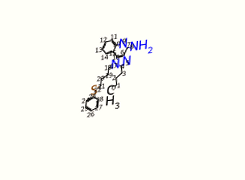 CCCCc1nc2c(N)nc3ccccc3c2n1CCCCSc1ccccc1